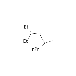 CCCC(C)C(C)C(CC)CC